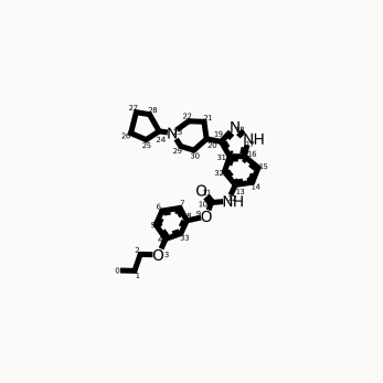 CCCOc1cccc(OC(=O)Nc2ccc3[nH]nc(C4CCN(C5CCCC5)CC4)c3c2)c1